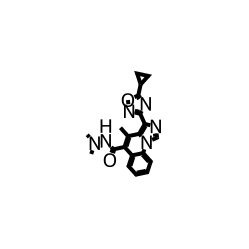 Cc1c(C(=O)NN(C)C)c2ccccc2n2cnc(-c3noc(C4CC4)n3)c12